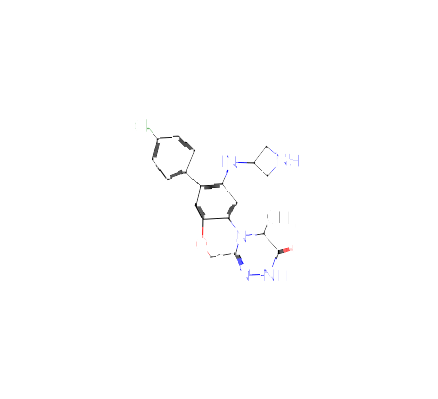 CC1C(=O)NN=C2COc3cc(-c4ccc(Cl)cc4)c(NC4CNC4)cc3N21